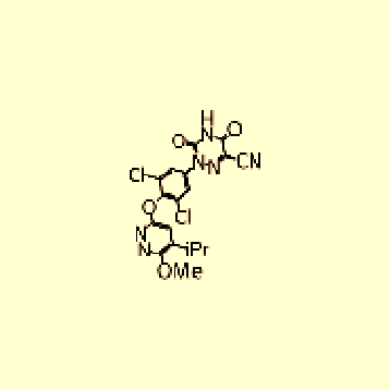 COc1nnc(Oc2c(Cl)cc(-n3nc(C#N)c(=O)[nH]c3=O)cc2Cl)cc1C(C)C